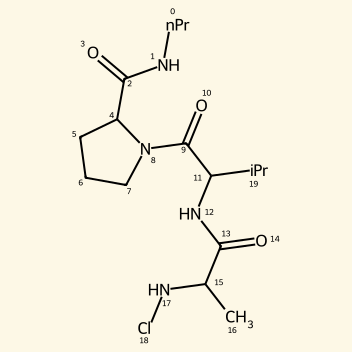 CCCNC(=O)C1CCCN1C(=O)C(NC(=O)C(C)NCl)C(C)C